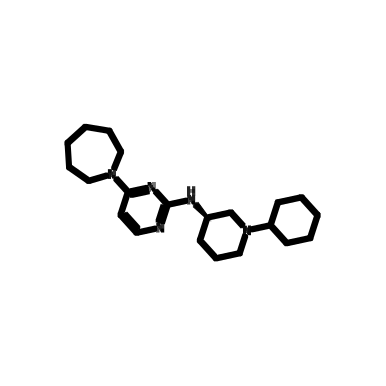 c1cc(N2CCCCCC2)nc(N[C@@H]2CCCN(C3CCCCC3)C2)n1